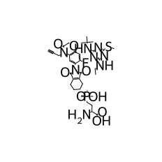 C#CCN1C(=O)COc2cc(F)c(N3C(=O)C4=C(CCCC4)C3=O)cc21.CCNc1nc(NC(C)(C)C)nc(SC)n1.CP(=O)(O)CCC(N)C(=O)O